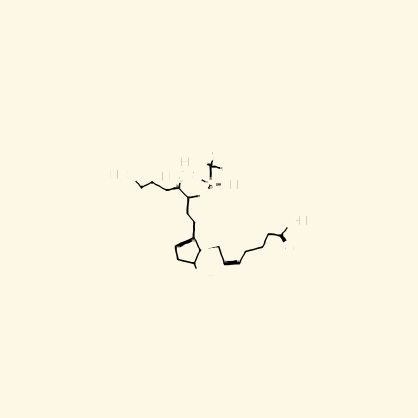 CCCCC(C)C(CCC1=CCC(O)[C@@H]1C/C=C\CCCC(=O)O)O[Si](C)(C)C(C)(C)C